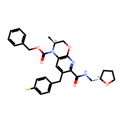 C[C@H]1COc2nc(C(=O)NC[C@@H]3CCCO3)c(Cc3ccc(F)cc3)cc2N1C(=O)OCc1ccccc1